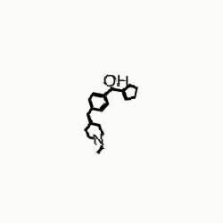 CCN1CCC(=Cc2ccc(C(O)C3CCCC3)cc2)CC1